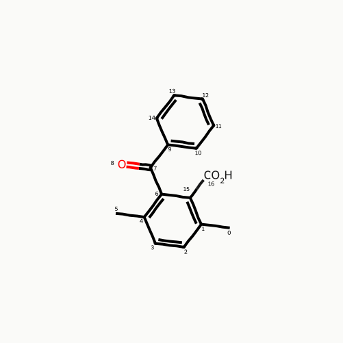 Cc1ccc(C)c(C(=O)c2ccccc2)c1C(=O)O